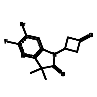 CC1(C)C(=O)N(C2CC(=O)C2)c2cc(Br)c(F)nc21